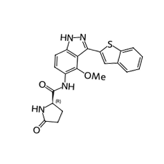 COc1c(NC(=O)[C@H]2CCC(=O)N2)ccc2[nH]nc(-c3cc4ccccc4s3)c12